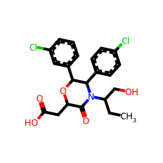 CCC(CO)N1C(=O)C(CC(=O)O)OC(c2cccc(Cl)c2)C1c1ccc(Cl)cc1